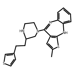 Cc1cc2c(s1)Nc1ccccc1N=C2N1CCNC(CCc2ccsc2)C1